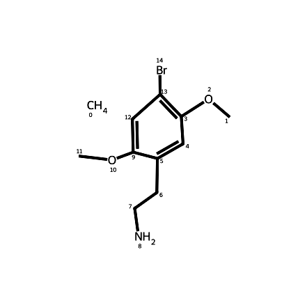 C.COc1cc(CCN)c(OC)cc1Br